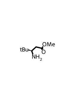 COC(=O)C[C@@H](N)C(C)(C)C